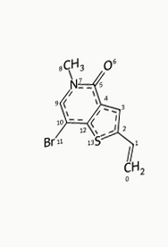 C=Cc1cc2c(=O)n(C)cc(Br)c2s1